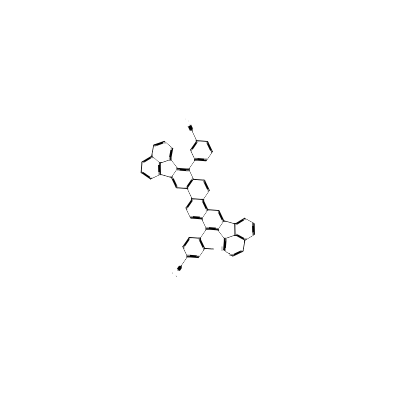 Cc1cc(C#N)ccc1-c1c2c(cc3c1ccc1c4cc5c(c(-c6cccc(C#N)c6)c4ccc31)-c1cccc3cccc-5c13)-c1cccc3cccc-2c13